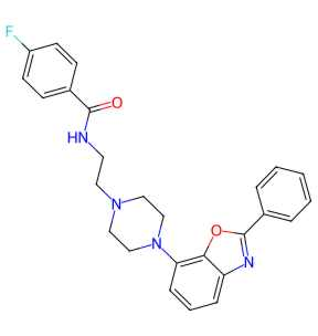 O=C(NCCN1CCN(c2cccc3nc(-c4ccccc4)oc23)CC1)c1ccc(F)cc1